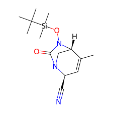 CC1=C[C@@H](C#N)N2C[C@@H]1N(O[Si](C)(C)C(C)(C)C)C2=O